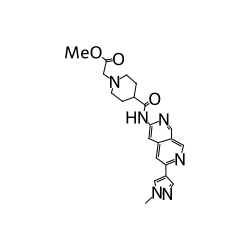 COC(=O)CN1CCC(C(=O)Nc2cc3cc(-c4cnn(C)c4)ncc3cn2)CC1